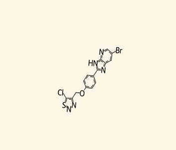 Clc1snnc1COc1ccc(-c2nc3cc(Br)cnc3[nH]2)cc1